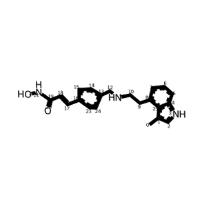 Cc1c[nH]c2cccc(CCNCc3ccc(/C=C/C(=O)NO)cc3)c12